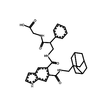 O=C(O)CNC(=O)C(CNC(=O)c1cc2cc[nH]c2cc1C(=O)NCC12CC3CC(CC(C3)C1)C2)c1ccccc1